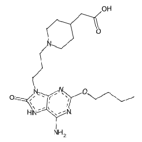 CCCCOc1nc(N)c2[nH]c(=O)n(CCCN3CCC(CC(=O)O)CC3)c2n1